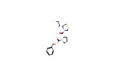 CCOC(=O)CC(O)[C@@H]1CSCN1C(=O)[C@@H]1CCCN1C(=O)OCc1ccccc1